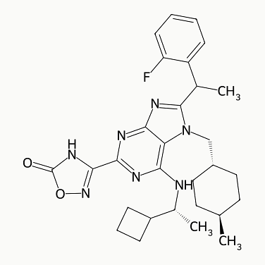 CC(c1ccccc1F)c1nc2nc(-c3noc(=O)[nH]3)nc(N[C@H](C)C3CCC3)c2n1C[C@H]1CC[C@H](C)CC1